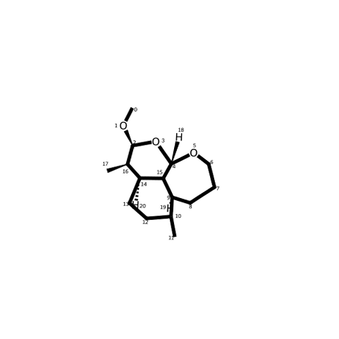 CO[C@H]1O[C@@H]2OCCC[C@H]3C(C)CC[C@H](C23)[C@H]1C